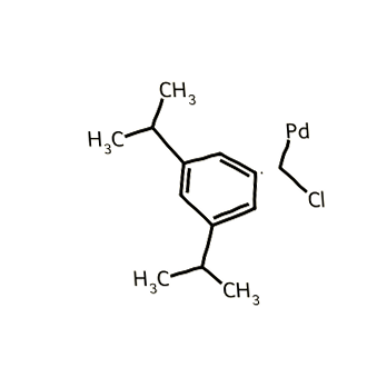 CC(C)c1c[c]cc(C(C)C)c1.Cl[CH2][Pd]